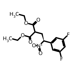 CCOC(=O)C(C[C@@H](c1cc(F)cc(F)c1)[N+](=O)[O-])C(=O)OCC